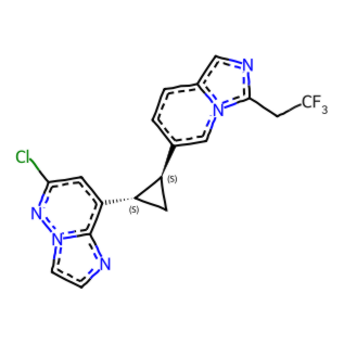 FC(F)(F)Cc1ncc2ccc([C@H]3C[C@@H]3c3cc(Cl)nn4ccnc34)cn12